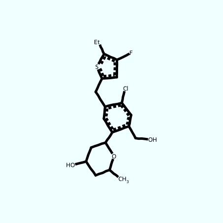 CCc1sc(Cc2cc(C3CC(O)CC(C)O3)c(CO)cc2Cl)cc1F